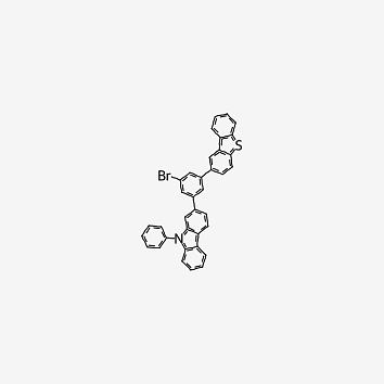 Brc1cc(-c2ccc3sc4ccccc4c3c2)cc(-c2ccc3c4ccccc4n(-c4ccccc4)c3c2)c1